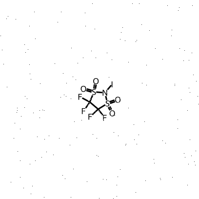 O=S1(=O)N(I)S(=O)(=O)C(F)(F)C1(F)F